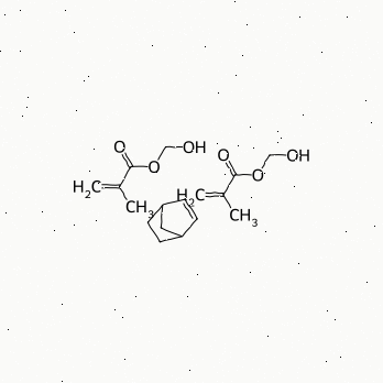 C1=CC2CCC1C2.C=C(C)C(=O)OCO.C=C(C)C(=O)OCO